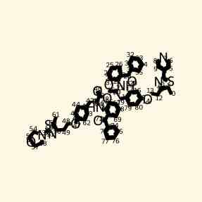 Cc1sc(-c2ccncc2)nc1CCOc1ccc(C[C@H](Nc2ccccc2C(=O)c2ccccc2)C(=O)OC(=O)[C@H](Cc2ccc(OCCc3nc(N4CCOCC4)sc3C)cc2)Nc2ccccc2C(=O)c2ccccc2)cc1